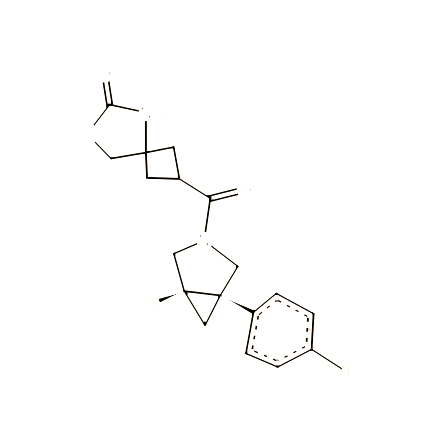 CC(C)c1ccc([C@@]23C[C@@H]2CN(C(=O)C2CC4(COC(=O)N4)C2)C3)cc1